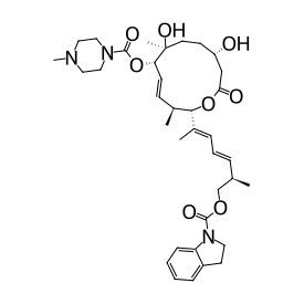 C/C(=C\C=C\[C@@H](C)COC(=O)N1CCc2ccccc21)[C@H]1OC(=O)C[C@@H](O)CC[C@](C)(O)[C@@H](OC(=O)N2CCN(C)CC2)/C=C/[C@@H]1C